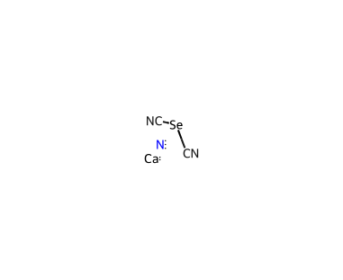 N#C[Se]C#N.[Ca].[N]